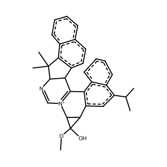 COC1(O)C2c3cc(C(C)C)c4ccccc4c3C3=[N+](C=NC4C3c3ccc5ccccc5c3C4(C)C)C21